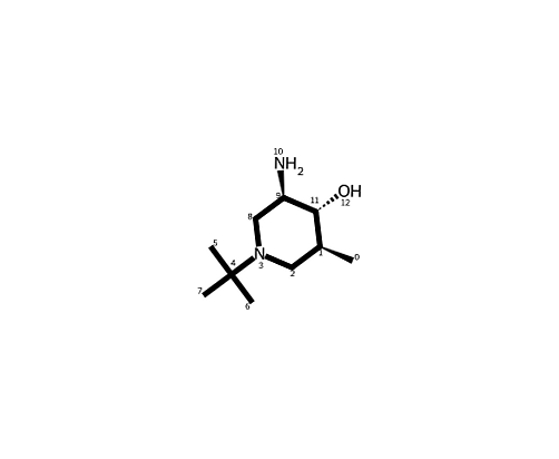 C[C@H]1CN(C(C)(C)C)C[C@@H](N)[C@@H]1O